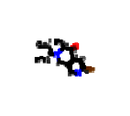 CCC[C@H](OC(C)=O)N1Cc2cnc(Br)cc2C(=O)C1CC